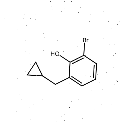 Oc1c(Br)cccc1CC1CC1